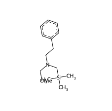 COCN(CCc1ccccc1)C[Si](C)(C)C